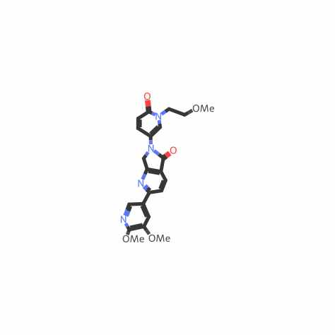 COCCn1cc(N2Cc3nc(-c4cnc(OC)c(OC)c4)ccc3C2=O)ccc1=O